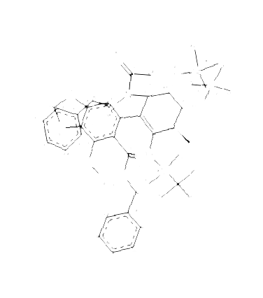 C[C@H]1C(O[Si](C)(C)C(C)(C)C)=C(c2cc3c(c(OP)c2C(=O)OCc2ccccc2)OCO3)[C@]2(CC(=O)N2OCc2ccccc2)[C@H](O[Si](C)(C)C)[C@@H]1O[Si](C)(C)C